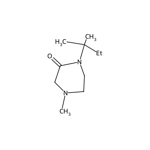 CCC(C)(C)N1CCN(C)CC1=O